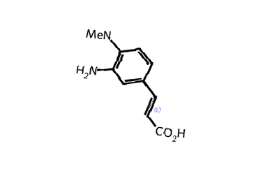 CNc1ccc(/C=C/C(=O)O)cc1N